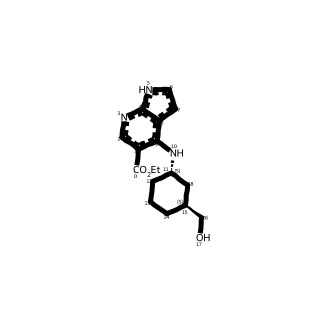 CCOC(=O)c1cnc2[nH]ccc2c1N[C@H]1CCC[C@H](CO)C1